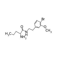 CCCC(N)C(=O)NCCc1ccc(Br)c(OC)c1